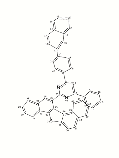 c1ccc(-c2nc(-c3ccc(-c4ccc5ccccc5c4)cc3)nc(-c3cc4ccccc4c4sc5ccc6ccccc6c5c34)n2)cc1